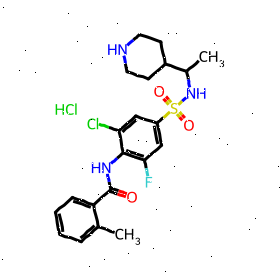 Cc1ccccc1C(=O)Nc1c(F)cc(S(=O)(=O)NC(C)C2CCNCC2)cc1Cl.Cl